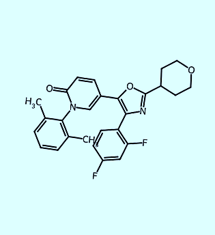 Cc1cccc(C)c1-n1cc(-c2oc(C3CCOCC3)nc2-c2ccc(F)cc2F)ccc1=O